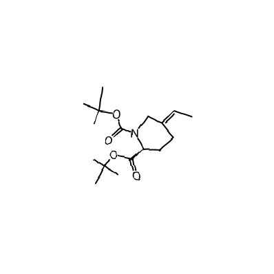 CC=C1CC[C@@H](C(=O)OC(C)(C)C)N(C(=O)OC(C)(C)C)C1